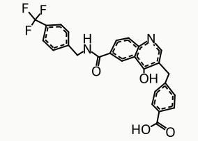 O=C(O)c1ccc(Cc2cnc3ccc(C(=O)NCc4ccc(C(F)(F)F)cc4)cc3c2O)cc1